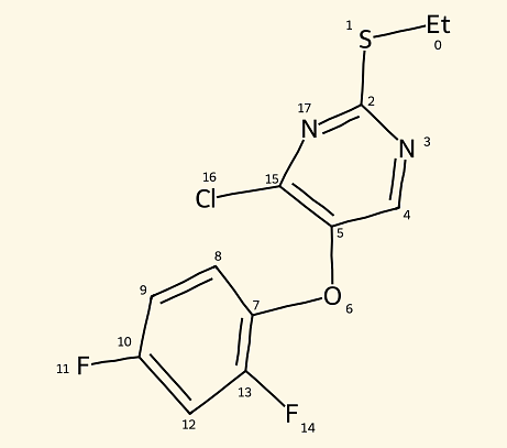 CCSc1ncc(Oc2ccc(F)cc2F)c(Cl)n1